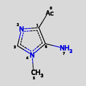 CC(=O)c1ncn(C)c1N